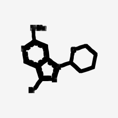 CC(=O)Nc1cc2c(cn1)c(Br)nn2C1CCCCO1